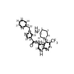 N[C@@H]1CCCN(c2c(C(F)(F)F)cnc3[nH]cc(NC(=O)c4cnn(Cc5ccccn5)c4)c23)C1